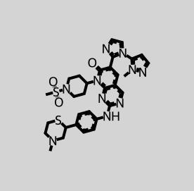 CN1CCSC(c2ccc(Nc3ncc4cc(-c5nccn5-c5ccnn5C)c(=O)n(C5CCN(S(C)(=O)=O)CC5)c4n3)cc2)C1